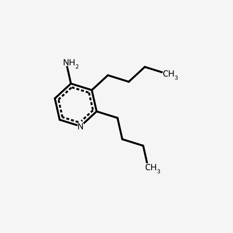 CCCCc1nccc(N)c1CCCC